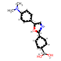 CN(C)c1ccc(-c2cnc(-c3ccc(B(O)O)cc3)o2)cc1